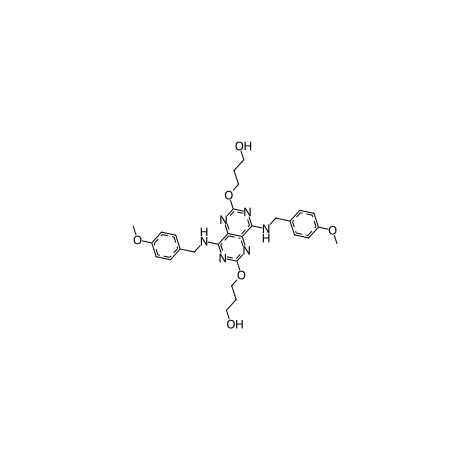 COc1ccc(CNc2nc(OCCCO)nc3c(NCc4ccc(OC)cc4)nc(OCCCO)nc23)cc1